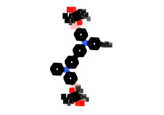 CCCCc1ccc(N(c2ccc(BOC(C)(C)C(C)(C)O)cc2)c2ccc(-c3ccc(N(c4ccccc4)c4ccc(BOC(C)(C)C(C)(C)O)cc4)cc3)cc2)cc1